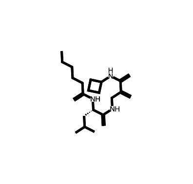 C=C(CCCCC)N[C@@H](CC(C)C)C(=C)NCC(=C)C(=C)NC1CCC1